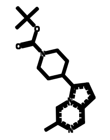 Cc1cn2c(C3CCN(C(=O)OC(C)(C)C)CC3)ccc2cn1